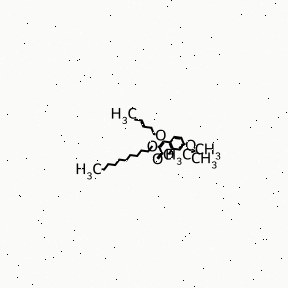 CC/C=C/CCOc1c(OCCCCCCCCCC)c(=O)oc2cc(OC(C)(C)C)ccc12